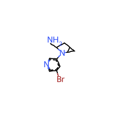 NCC1CC2CC2N1c1cncc(Br)c1